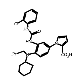 CC(C)CN(c1ccc(-n2cccc2C(=O)O)cc1NC(=O)Nc1ccccc1Cl)C1CCCCC1